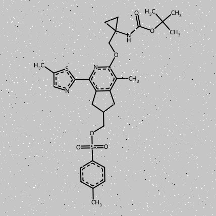 Cc1ccc(S(=O)(=O)OCC2Cc3c(-c4ncc(C)s4)nc(OCC4(NC(=O)OC(C)(C)C)CC4)c(C)c3C2)cc1